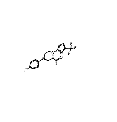 CC(=O)C1CN(c2ccc(F)cc2)CCN1n1ccc(C(F)(F)F)n1